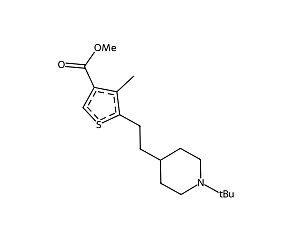 COC(=O)c1csc(CCC2CCN(C(C)(C)C)CC2)c1C